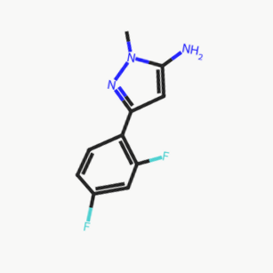 Cn1nc(-c2ccc(F)cc2F)cc1N